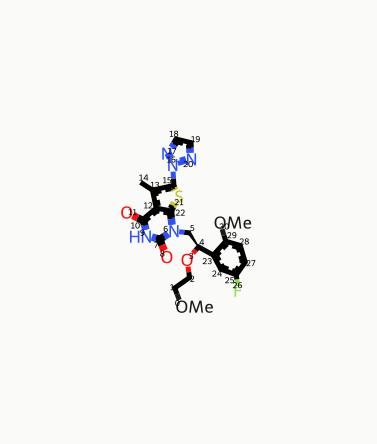 COCCO[C@@H](Cn1c(=O)[nH]c(=O)c2c(C)c(-n3nccn3)sc21)c1cc(F)ccc1OC